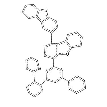 c1ccc(-c2cc(-c3ccccc3-c3ccccn3)nc(-c3ccc(-c4ccc5sc6ccccc6c5c4)c4c3oc3ccccc34)n2)cc1